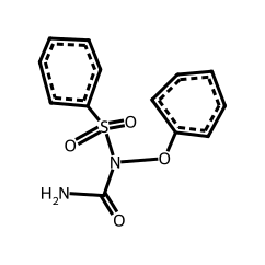 NC(=O)N(Oc1ccccc1)S(=O)(=O)c1ccccc1